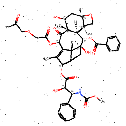 CC(=O)O[C@@]12CO[C@@H]1C[C@H](O)[C@@]1(C)C(=O)[C@H](OC(=O)COCC(=O)C(C)C)C3=C(C)[C@@H](OC(=O)[C@H](O)[C@@H](NC(=O)OC(C)(C)C)c4ccccc4)C4C[C@@](O)([C@@H](OC(=O)c5ccccc5)[C@H]21)C34C